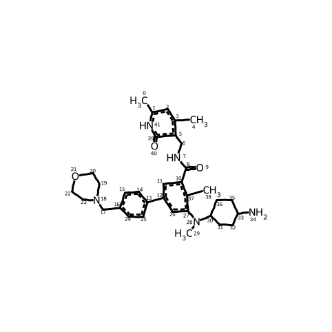 Cc1cc(C)c(CNC(=O)c2cc(-c3ccc(CN4CCOCC4)cc3)cc(N(C)C3CCC(N)CC3)c2C)c(=O)[nH]1